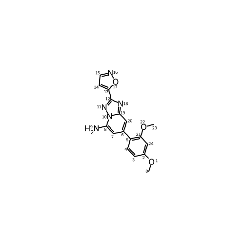 COc1ccc(-c2cc(N)n3nc(-c4ccno4)nc3c2)c(OC)c1